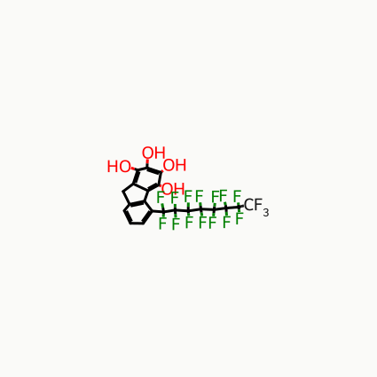 Oc1c(O)c(O)c2c(c1O)Cc1cccc(C(F)(F)C(F)(F)C(F)(F)C(F)(F)C(F)(F)C(F)(F)C(F)(F)C(F)(F)F)c1-2